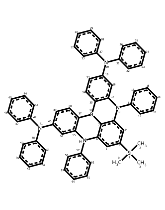 C[Si](C)(C)c1cc2c3c(c1)N(c1ccccc1)c1cc(N(c4ccccc4)c4ccccc4)ccc1B3c1ccc(N(c3ccccc3)c3ccccc3)cc1N2c1ccccc1